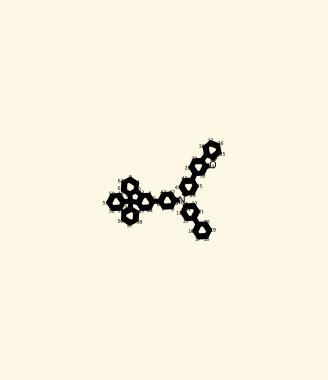 C1=CC2c3cc(-c4ccc(N(c5ccc(-c6ccccc6)cc5)c5ccc(-c6ccc7c(c6)oc6ccccc67)cc5)cc4)ccc3C(c3ccccc3)(c3ccccc3)C2C=C1